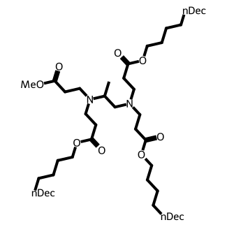 CCCCCCCCCCCCCCOC(=O)CCN(CCC(=O)OCCCCCCCCCCCCCC)CC(C)N(CCC(=O)OC)CCC(=O)OCCCCCCCCCCCCCC